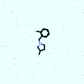 [CH]c1ccccc1CN1CCC(C)C1